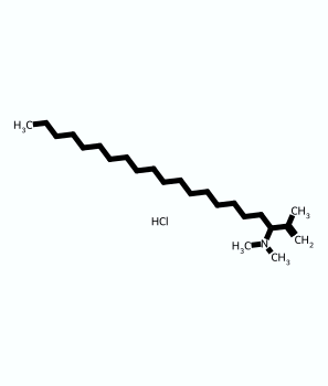 C=C(C)C(CCCCCCCCCCCCCCCCCC)N(C)C.Cl